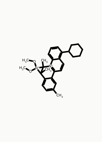 CO[N+]1(OC)C2(C)c3ccc(C)cc3-c3ccc4c(C5CCCCC5)cccc4[n+]3C21C